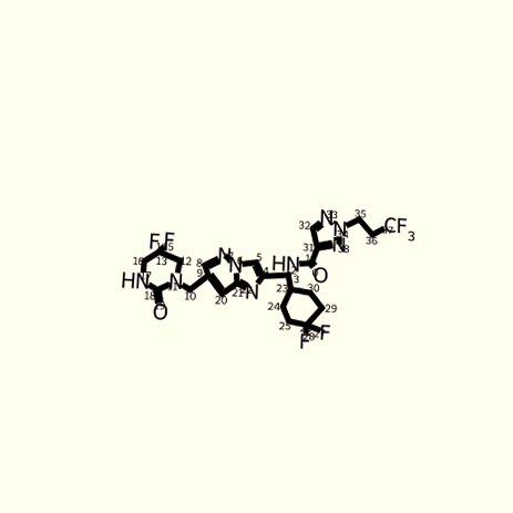 O=C(N[C@H](c1cn2ncc(CN3CC(F)(F)CNC3=O)cc2n1)C1CCC(F)(F)CC1)c1cnn(CCC(F)(F)F)n1